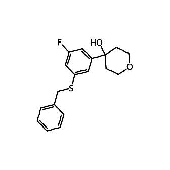 OC1(c2cc(F)cc(SCc3ccccc3)c2)CCOCC1